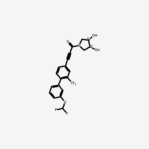 O=C(C#Cc1ccc(-c2cccc(OC(F)F)c2)c(C(F)(F)F)c1)N1C[C@@H](O)[C@@H](O)C1